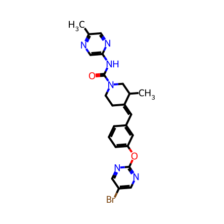 Cc1cnc(NC(=O)N2CCC(=Cc3cccc(Oc4ncc(Br)cn4)c3)C(C)C2)cn1